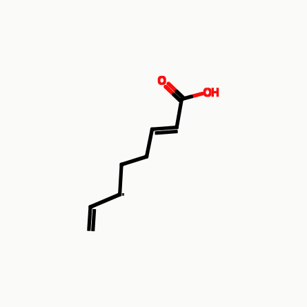 C=C[CH]CCC=CC(=O)O